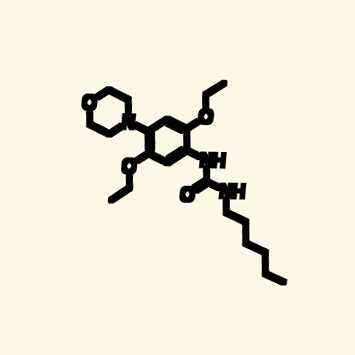 CCCCCCNC(=O)Nc1cc(OCC)c(N2CCOCC2)cc1OCC